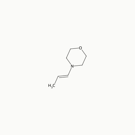 C/C=C/N1CCOCC1